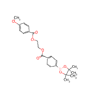 COc1ccc(C(=O)OCCOC(=O)c2ccc(B3OC(C)(C)C(C)(C)O3)cc2)cc1